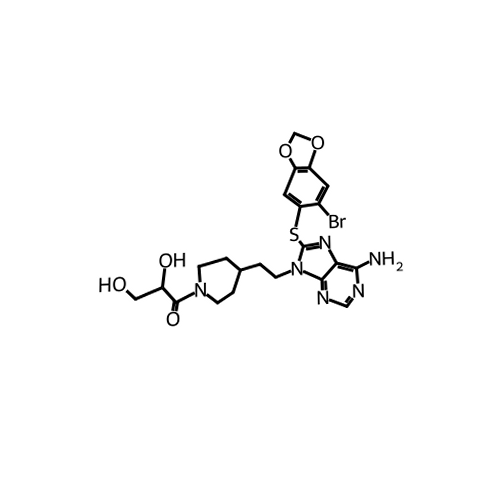 Nc1ncnc2c1nc(Sc1cc3c(cc1Br)OCO3)n2CCC1CCN(C(=O)C(O)CO)CC1